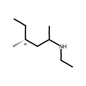 CCNC(C)C[C@H](C)CC